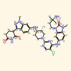 C[C@@H]1CN(c2ncc(Cl)c(Nc3ccc4c(c3)n(CCC(C)(C)N)c(=O)n4C)n2)CC[C@H]1Nc1ccc2c(C3CCC(=O)NC3=O)nn(C)c2c1